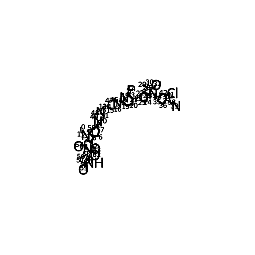 CCn1c2c(c3ccc(N4CCN(CC5CCN(c6ccc(-c7ccc8c(c7)C(C)(C)C(=O)N8c7ccc(C#N)c(Cl)c7)c(F)n6)CC5)CC4)cc31)C(=O)N(C1CCC(=O)NC1=O)C2=O